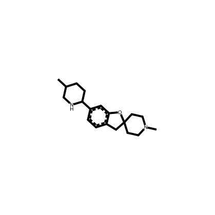 CC1CCC(c2ccc3c(c2)OC2(CCN(C)CC2)C3)NC1